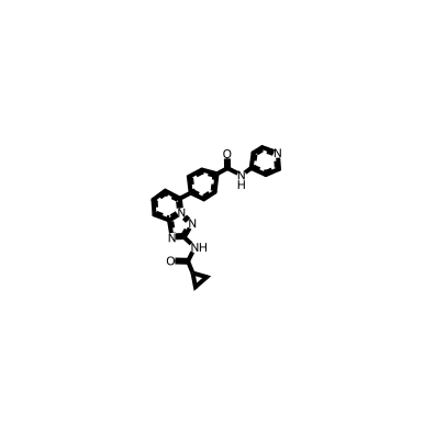 O=C(Nc1ccncc1)c1ccc(-c2cccc3nc(NC(=O)C4CC4)nn23)cc1